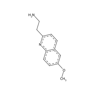 COc1ccc2nc(CCN)ccc2c1